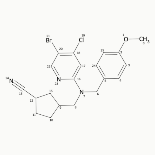 COc1ccc(CN(CC2CCC(C#N)C2)c2cc(Cl)c(Br)cn2)cc1